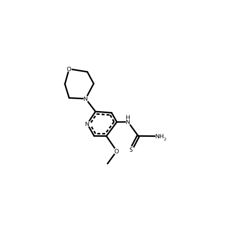 COc1cnc(N2CCOCC2)cc1NC(N)=S